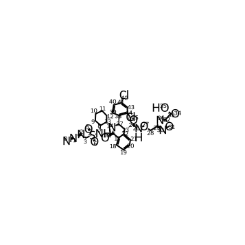 [N-]=[N+]=NCS(=O)(=O)N[C@H]1CCCC[C@@H]1N1C(=O)c2ccccc2[C@@H](C(=O)NOCc2noc(C(=O)O)n2)[C@@H]1c1ccc(Cl)cc1Cl